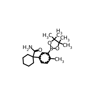 Cc1ccc(C2(C(N)=O)CCCCC2)cc1B1OC(C)(C)C(C)(C)O1